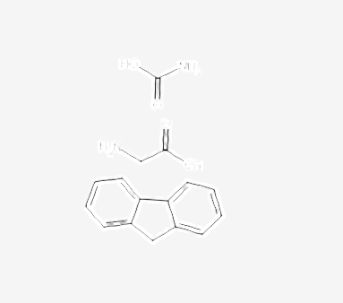 NC(=O)O.NCC(=O)O.c1ccc2c(c1)Cc1ccccc1-2